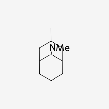 CNC1C2CCCC1CC(C)C2